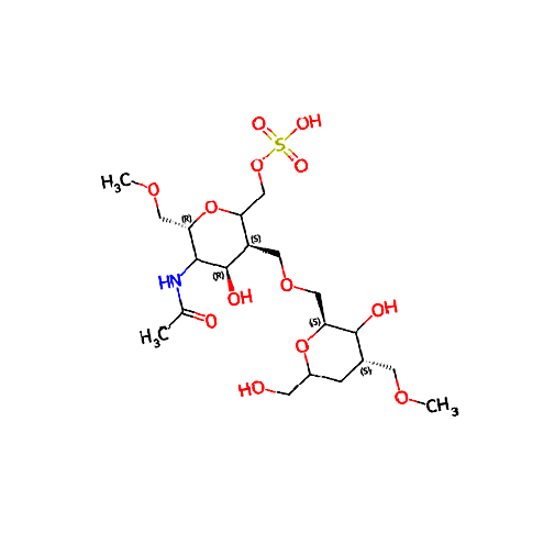 COC[C@@H]1CC(CO)O[C@@H](COC[C@@H]2C(COS(=O)(=O)O)O[C@@H](COC)C(NC(C)=O)[C@@H]2O)C1O